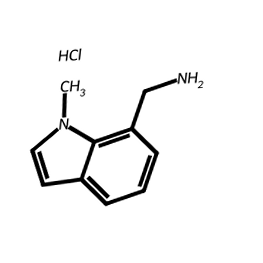 Cl.Cn1ccc2cccc(CN)c21